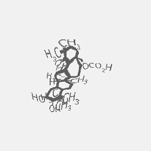 CC1(C)CC[C@]2(COC(=O)O)CC[C@]3(C)C(=CC[C@@H]4[C@@]5(C)C[C@@H](O)[C@@H](O)C(C)(C)C5CC[C@]43C)[C@H]2C1=O